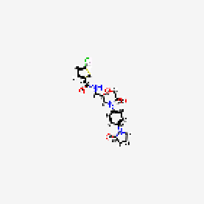 O=C(NCC1CN(c2ccc(N3CCCC3=O)cc2)C(=O)CO1)c1ccc(Cl)s1